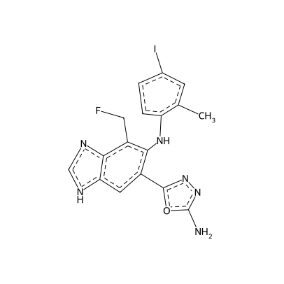 Cc1cc(I)ccc1Nc1c(-c2nnc(N)o2)cc2[nH]cnc2c1CF